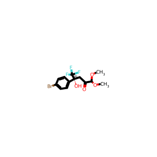 COC(OC)C(=O)C[C@@](O)(c1ccc(Br)cc1)C(F)(F)F